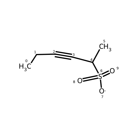 CCC#CC(C)S([O])(=O)=O